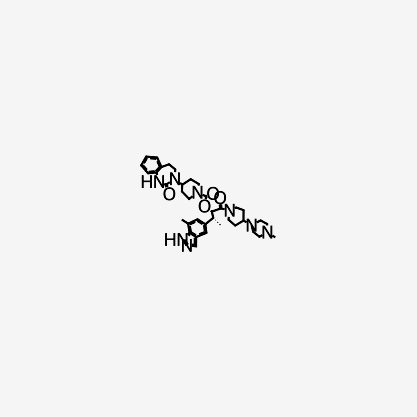 Cc1cc([C@@H](C)C(OC(=O)N2CCC(N3CCc4ccccc4NC3=O)CC2)C(=O)N2CCC(N3CCN(C)CC3)CC2)cc2cn[nH]c12